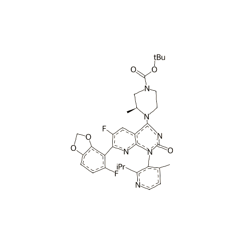 Cc1ccnc(C(C)C)c1-n1c(=O)nc(N2CCN(C(=O)OC(C)(C)C)C[C@@H]2C)c2cc(F)c(-c3c(F)ccc4c3OCO4)nc21